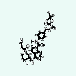 C[C@@H]1CCN(C(=O)CC#N)C[C@@H]1N(C)c1ncnc2c1ccn2C(=O)Nc1ccc(CCN(C)C(=O)OC(C)(C)C)cc1